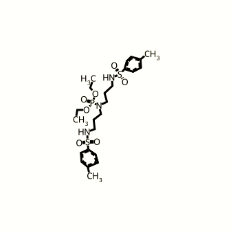 CCOP(=O)(OCC)N(CCCNS(=O)(=O)c1ccc(C)cc1)CCCNS(=O)(=O)c1ccc(C)cc1